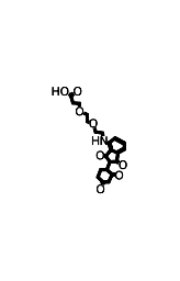 O=C(O)CCOCCOCCNc1cccc2c1C(=O)C(C1CCC(=O)CC1=O)C2=O